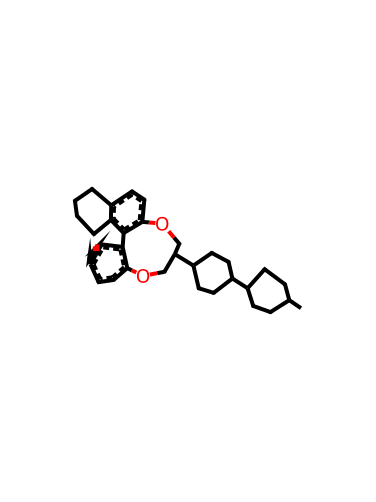 CC1CCC(C2CCC(C3COc4ccc5c(c4-c4c(ccc6c4CCCC6)OC3)CCCC5)CC2)CC1